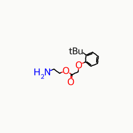 CC(C)(C)c1ccccc1OCC(=O)OCCN